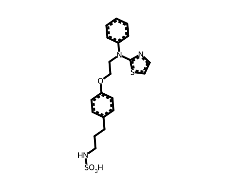 O=S(=O)(O)NCCCc1ccc(OCCN(c2ccccc2)c2nccs2)cc1